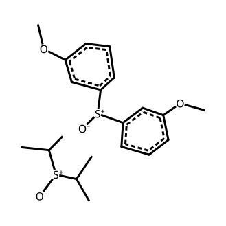 CC(C)[S+]([O-])C(C)C.COc1cccc([S+]([O-])c2cccc(OC)c2)c1